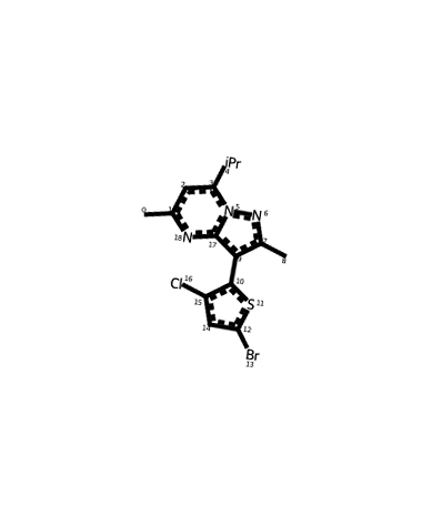 Cc1cc(C(C)C)n2nc(C)c(-c3sc(Br)cc3Cl)c2n1